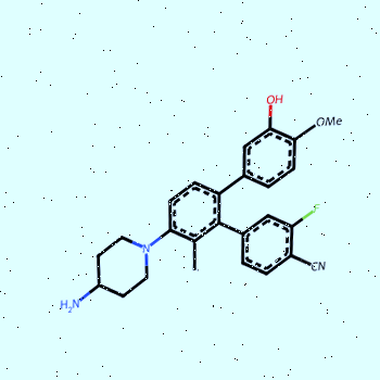 [CH2]c1c(N2CCC(N)CC2)ccc(-c2ccc(OC)c(O)c2)c1-c1ccc(C#N)c(F)c1